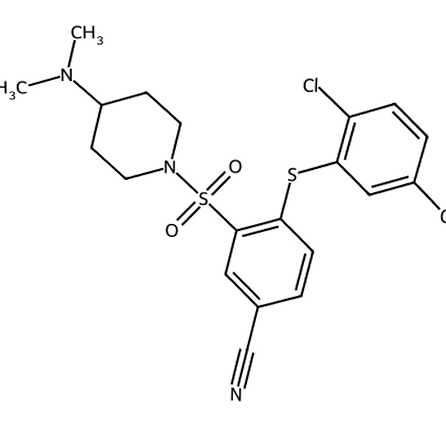 CN(C)C1CCN(S(=O)(=O)c2cc(C#N)ccc2Sc2cc(Cl)ccc2Cl)CC1